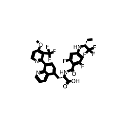 CC[C@@H](Nc1cc(F)c(C(=O)N[C@@H](Cc2ccc(-c3nccc(OC)c3C(F)(F)F)c3ncccc23)C(=O)O)c(F)c1)C(F)(F)F